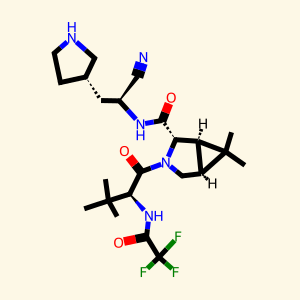 CC(C)(C)[C@H](NC(=O)C(F)(F)F)C(=O)N1C[C@H]2[C@@H]([C@H]1C(=O)N[C@H](C#N)C[C@@H]1CCNC1)C2(C)C